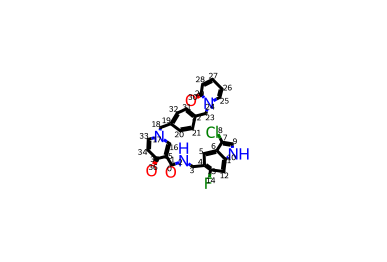 O=C(NCc1cc2c(Cl)c[nH]c2cc1F)c1cn(Cc2ccc(Cn3ccccc3=O)cc2)ccc1=O